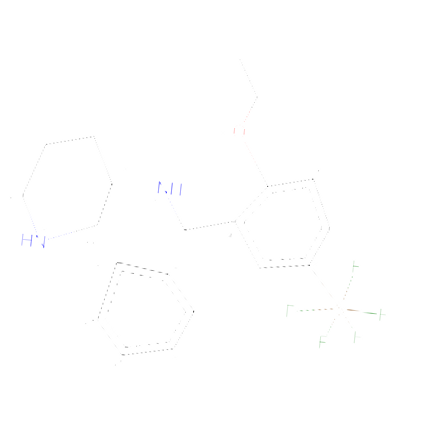 CCOc1ccc(S(F)(F)(F)(F)F)cc1CN[C@H]1CCCN[C@H]1c1ccccc1